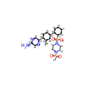 CS(=O)(=O)N1CCN(S(=O)(=O)c2ccccc2-c2ccc(-c3cnc(N)cn3)c(F)c2)CC1